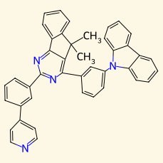 CC1(C)c2ccccc2-c2nc(-c3cccc(-c4ccncc4)c3)nc(-c3cccc(-n4c5ccccc5c5ccccc54)c3)c21